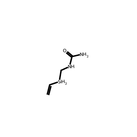 C=C[SiH2]CNC(N)=O